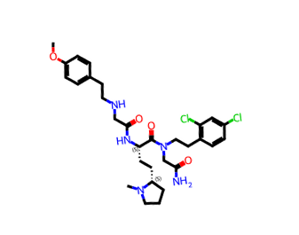 COc1ccc(CCNCC(=O)N[C@@H](CC[C@@H]2CCCN2C)C(=O)N(CCc2ccc(Cl)cc2Cl)CC(N)=O)cc1